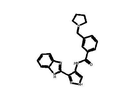 O=C(Nc1c[nH]nc1-c1nc2ccccc2[nH]1)c1cccc(CN2CCCC2)c1